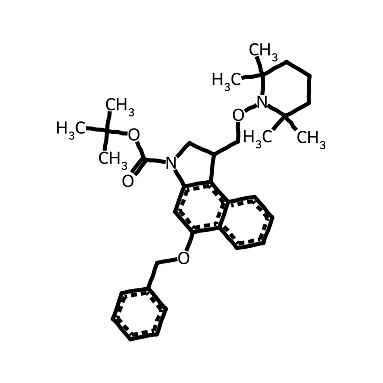 CC(C)(C)OC(=O)N1CC(CON2C(C)(C)CCCC2(C)C)c2c1cc(OCc1ccccc1)c1ccccc21